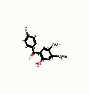 COc1cc(O)c(C(=O)c2ccc(F)cc2)cc1OC